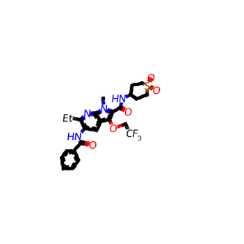 CCc1nc2c(cc1NC(=O)c1ccccc1)c(OCC(F)(F)F)c(C(=O)NC1CCS(=O)(=O)CC1)n2C